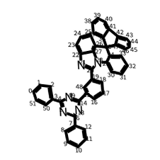 c1ccc(-c2nc(-c3ccccc3)nc(-c3cccc(-c4nc5cccc6c5n4-c4ccccc4C64c5ccccc5-c5ccccc54)c3)n2)cc1